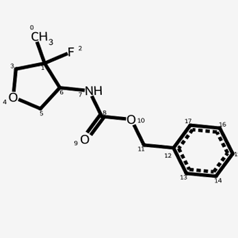 CC1(F)COCC1NC(=O)OCc1ccccc1